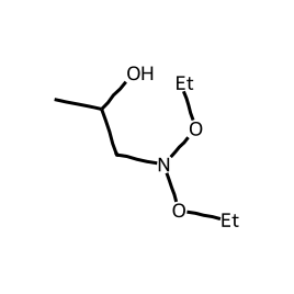 CCON(CC(C)O)OCC